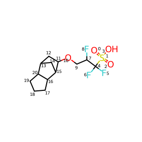 O=S(=O)(O)C(F)(F)C(F)COC1CC2CC1C1CCCC21